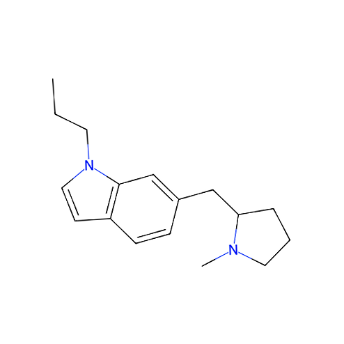 CCCn1ccc2ccc(CC3CCCN3C)cc21